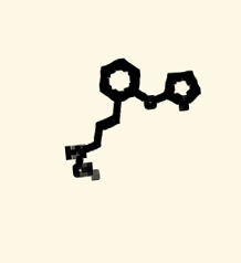 CNCC=Cc1ccccc1Oc1cccs1